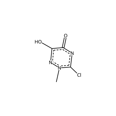 Cn1nc(O)c(=O)nc1Cl